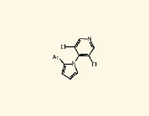 CC(=O)c1cccn1-c1c(Cl)cncc1Cl